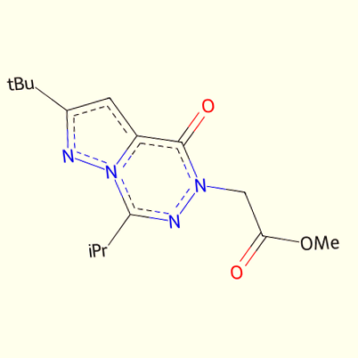 COC(=O)Cn1nc(C(C)C)n2nc(C(C)(C)C)cc2c1=O